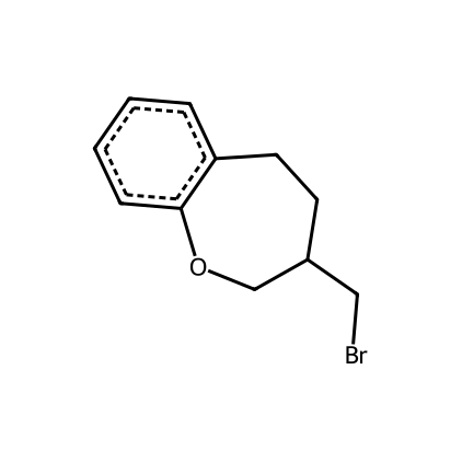 BrCC1CCc2ccccc2OC1